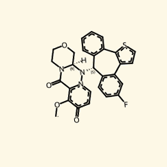 [CH2]Oc1c2n(ccc1=O)N([C@H]1c3ccc(F)cc3-c3ccsc3-c3ccccc31)[C@@H]1COCCN1C2=O